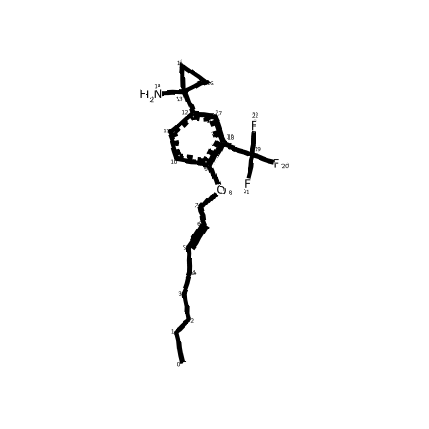 CCCCC/C=C/COc1ccc(C2(N)CC2)cc1C(F)(F)F